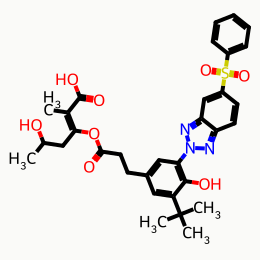 CC(C(=O)O)=C(CC(C)O)OC(=O)CCc1cc(-n2nc3ccc(S(=O)(=O)c4ccccc4)cc3n2)c(O)c(C(C)(C)C)c1